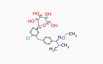 CCON=C(c1ccc(Cc2cc([C@@H]3O[C@H](CO)[C@@H](O)[C@H](O)[C@H]3O)ccc2Cl)cc1)C(C)C